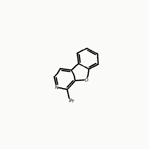 CC(C)c1nccc2c1oc1ccccc12